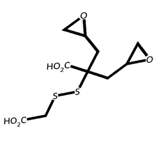 O=C(O)CSSC(CC1CO1)(CC1CO1)C(=O)O